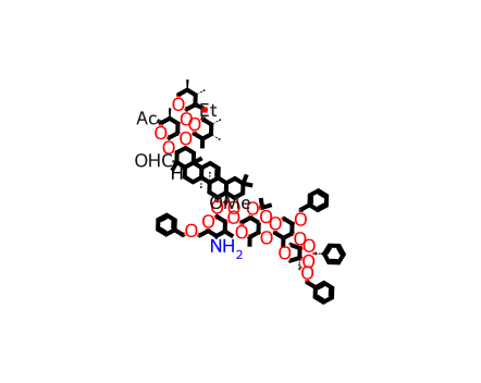 CCC1O[C@@H](OC2[C@H](O[C@H]3CCC4(C)C5CC=C6C7CC(C)(C)CC[C@]7(C(=O)O[C@@H]7OC(COCc8ccccc8)[C@H](N)C(C)C7O[C@@H]7OC(C)[C@H](O[C@@H]8OC[C@@H](OCc9ccccc9)C(OC9%10COC[C@]9(COCc9ccccc9)O[C@@H](c9ccccc9)O%10)C8C)C8OC(C)(C)OC87)C(OC)C[C@@]6(C)[C@@]5(C)CC[C@H]4[C@@]3(C)C=O)OC(C(C)=O)[C@@H](C)[C@@H]2O[C@@H]2OC[C@@H](C)[C@H](C)C2C)C(C)[C@@H](C)[C@H]1C